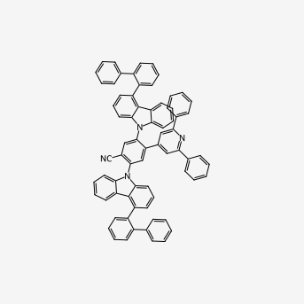 N#Cc1cc(-n2c3ccccc3c3c(-c4ccccc4-c4ccccc4)cccc32)c(-c2cc(-c3ccccc3)nc(-c3ccccc3)c2)cc1-n1c2ccccc2c2c(-c3ccccc3-c3ccccc3)cccc21